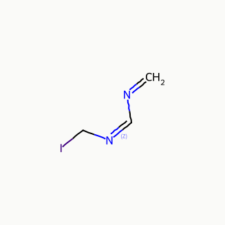 C=N/C=N\CI